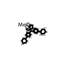 CO[C@]12CCC[C@@]1(C(c1ccc(C3CCCCC3)cc1)c1ccc(C3CCCCC3)cc1)CCO2